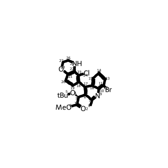 COC(=O)[C@@H](OC(C)(C)C)c1c(C)nc2c(Br)cccc2c1-c1ccc2c(c1Cl)NCCO2